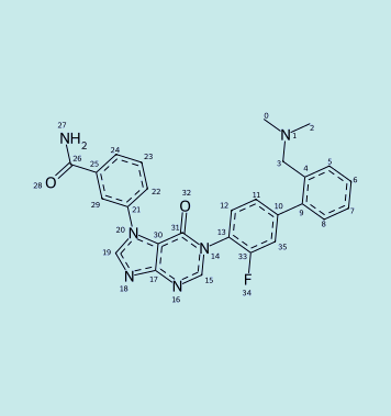 CN(C)Cc1ccccc1-c1ccc(-n2cnc3ncn(-c4cccc(C(N)=O)c4)c3c2=O)c(F)c1